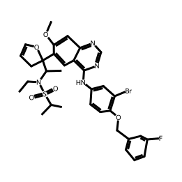 CCN(C(C)C1(c2cc3c(Nc4ccc(OCc5cccc(F)c5)c(Br)c4)ncnc3cc2OC)CC=CO1)S(=O)(=O)C(C)C